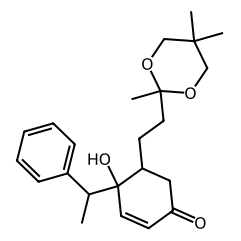 CC(c1ccccc1)C1(O)C=CC(=O)CC1CCC1(C)OCC(C)(C)CO1